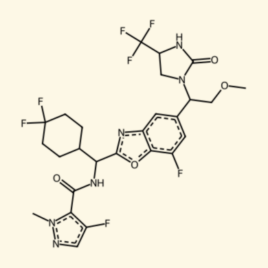 COCC(c1cc(F)c2oc(C(NC(=O)c3c(F)cnn3C)C3CCC(F)(F)CC3)nc2c1)N1CC(C(F)(F)F)NC1=O